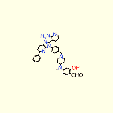 CN(c1ccc(C=O)c(O)c1)C1CCN(Cc2ccc(-n3c(-c4cccnc4N)nc4ccc(-c5ccccc5)nc43)cc2)CC1